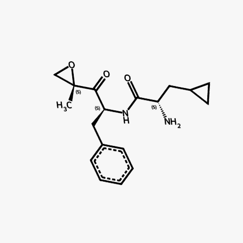 C[C@@]1(C(=O)[C@H](Cc2ccccc2)NC(=O)[C@@H](N)CC2CC2)CO1